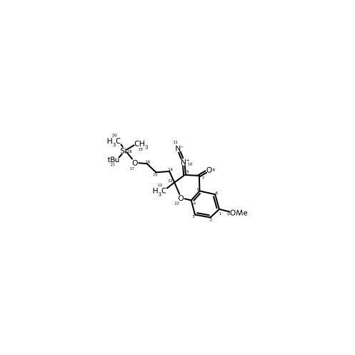 COc1ccc2c(c1)C(=O)C(=[N+]=[N-])C(C)(CCCO[Si](C)(C)C(C)(C)C)O2